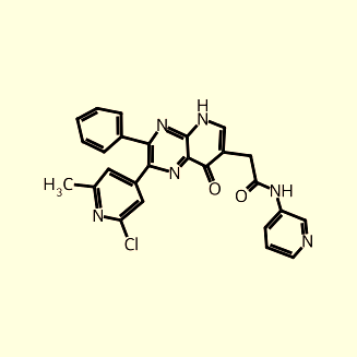 Cc1cc(-c2nc3c(=O)c(CC(=O)Nc4cccnc4)c[nH]c3nc2-c2ccccc2)cc(Cl)n1